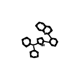 c1ccc(P(c2ccccc2)c2ccc(-c3ccccc3-c3ccc4ccccc4n3)[nH]2)cc1